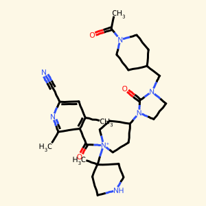 CC(=O)N1CCC(CN2CCN(C3CC[N+](C(=O)c4c(C)cc(C#N)nc4C)(C4(C)CCNCC4)CC3)C2=O)CC1